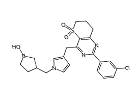 O=S1(=O)CCCc2nc(-c3cccc(Cl)c3)nc(Cc3ccn(CC4CCB(O)C4)c3)c21